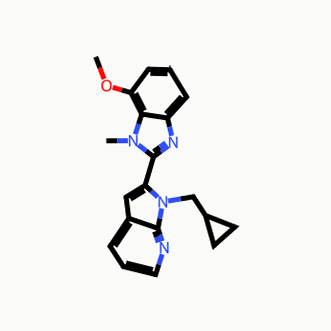 COc1c[c]cc2nc(-c3cc4cccnc4n3CC3CC3)n(C)c12